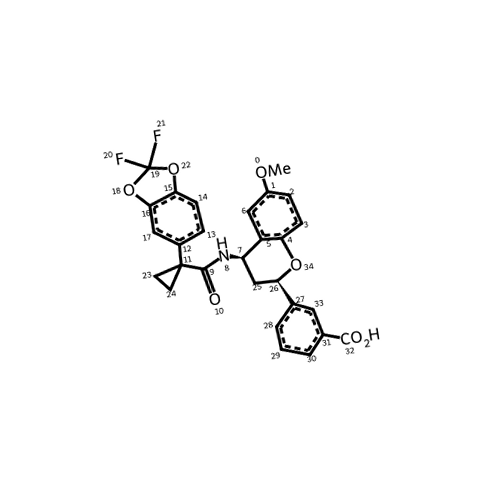 COc1ccc2c(c1)[C@H](NC(=O)C1(c3ccc4c(c3)OC(F)(F)O4)CC1)C[C@H](c1cccc(C(=O)O)c1)O2